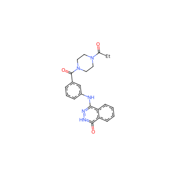 CCC(=O)N1CCN(C(=O)c2cccc(Nc3n[nH]c(=O)c4ccccc34)c2)CC1